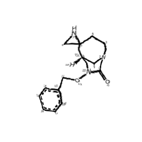 O=C1N2CCC3(CN3)[C@H](C2)N1OCc1ccccc1